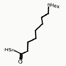 CCCCCCCCCCCCC[C](=O)[SnH]